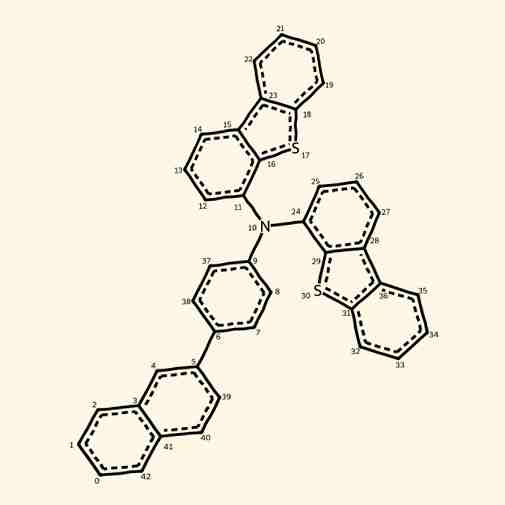 c1ccc2cc(-c3ccc(N(c4cccc5c4sc4ccccc45)c4cccc5c4sc4ccccc45)cc3)ccc2c1